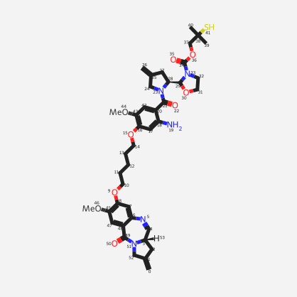 C=C1C[C@H]2C=Nc3cc(OCCCCCOc4cc(N)c(C(=O)N5CC(=C)C[C@H]5C5OCCN5C(=O)OCC(C)(C)S)cc4OC)c(OC)cc3C(=O)N2C1